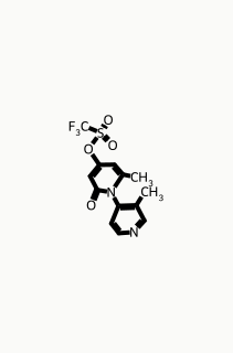 Cc1cnccc1-n1c(C)cc(OS(=O)(=O)C(F)(F)F)cc1=O